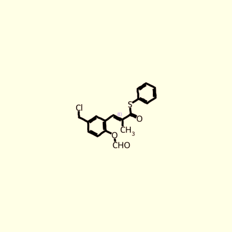 C/C(=C\c1cc(CCl)ccc1OC=O)C(=O)Sc1ccccc1